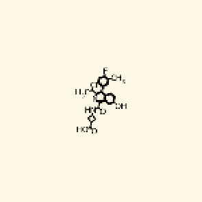 Cc1cc(-c2c(C(C)C)nc(C(=O)NC3CC(C(=O)O)C3)c3cc(O)ccc23)ccc1F